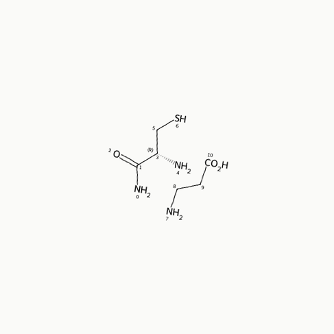 NC(=O)[C@@H](N)CS.NCCC(=O)O